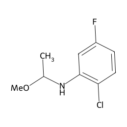 COC(C)Nc1cc(F)ccc1Cl